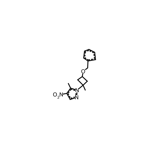 Cc1c([N+](=O)[O-])cnn1C1(C)CC(OCc2ccccc2)C1